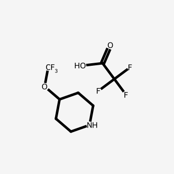 FC(F)(F)OC1CCNCC1.O=C(O)C(F)(F)F